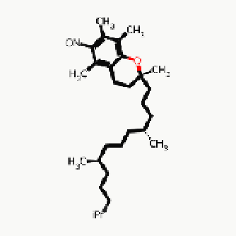 Cc1c(C)c2c(c(C)c1N=O)CC[C@@](C)(CCC[C@H](C)CCC[C@H](C)CCCC(C)C)O2